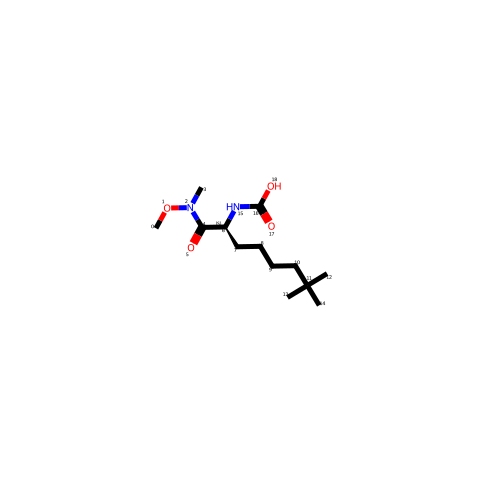 CON(C)C(=O)[C@H](CCCCC(C)(C)C)NC(=O)O